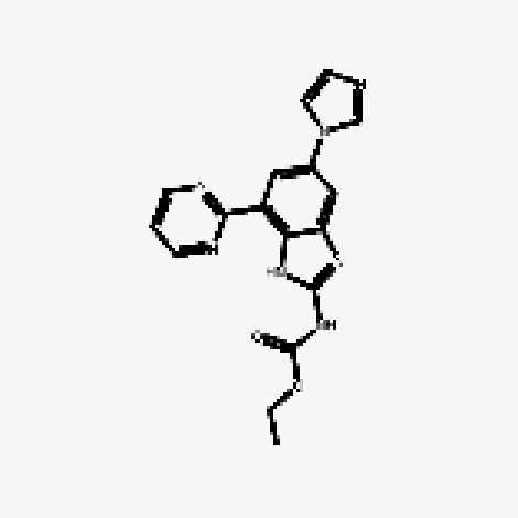 CCOC(=O)Nc1nc2cc(-n3ccnc3)cc(-c3ncccn3)c2[nH]1